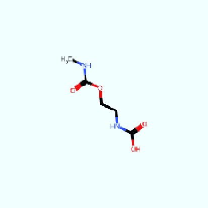 CNC(=O)OCCNC(=O)O